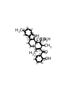 CC1=C(C(=O)O)C2(C(=O)O)c3[nH]c4ccc(C)cc4c3CCN2C(C)=C1C(=O)c1ccccc1O